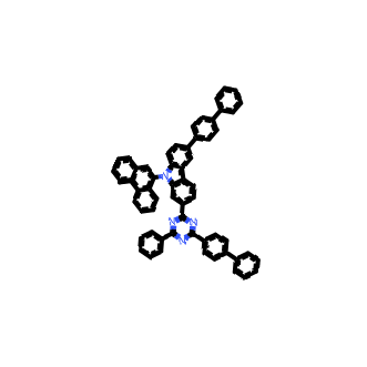 c1ccc(-c2ccc(-c3ccc4c(c3)c3ccc(-c5nc(-c6ccccc6)nc(-c6ccc(-c7ccccc7)cc6)n5)cc3n4-c3cc4ccccc4c4ccccc34)cc2)cc1